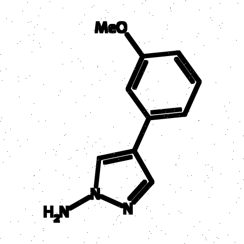 COc1cccc(-c2cnn(N)c2)c1